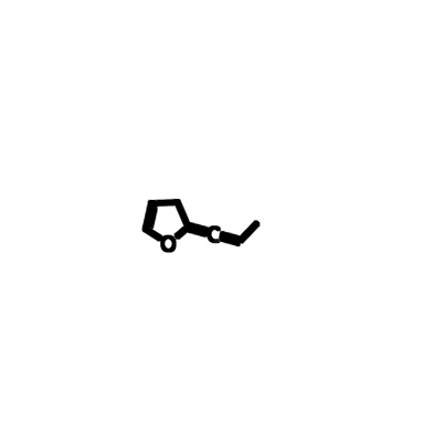 CC=C=C1CC=CO1